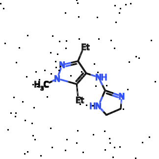 CCc1nn(C)c(CC)c1NC1=NCCN1